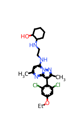 CCOc1cc(Cl)c(-c2c(C)nn3c(NCCNC4CCCCC4O)cc(C)nc23)c(Cl)c1